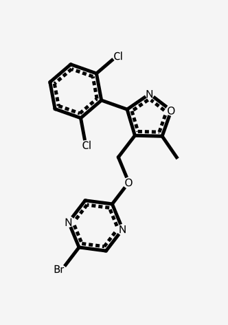 Cc1onc(-c2c(Cl)cccc2Cl)c1COc1cnc(Br)cn1